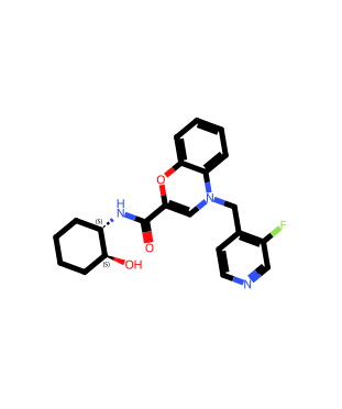 O=C(N[C@H]1CCCC[C@@H]1O)C1=CN(Cc2ccncc2F)c2ccccc2O1